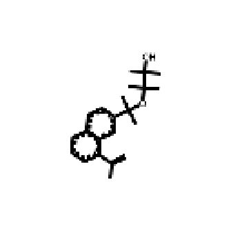 C=C(C)c1cccc2ccc(C(C)(C)OC(C)(C)C(C)(C)O)cc12